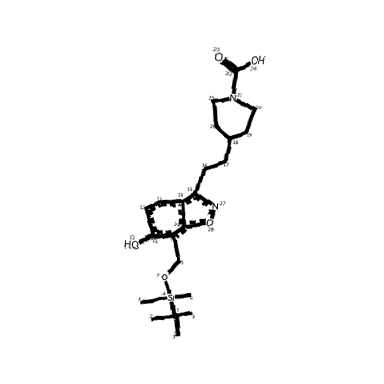 CC(C)(C)[Si](C)(C)OCc1c(O)ccc2c(CCC3CCN(C(=O)O)CC3)noc12